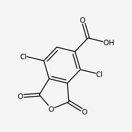 O=C(O)c1cc(Cl)c2c(c1Cl)C(=O)OC2=O